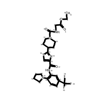 CCOC(=O)CNC(=O)N1CCC(c2nc(C(=O)Nc3cc(C(F)(F)F)ccc3N3CCCC3)cs2)CC1